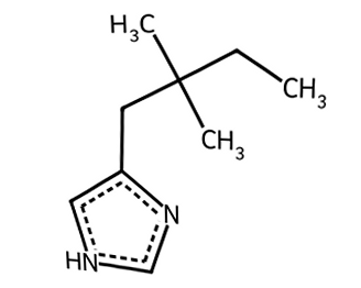 CCC(C)(C)Cc1c[nH]cn1